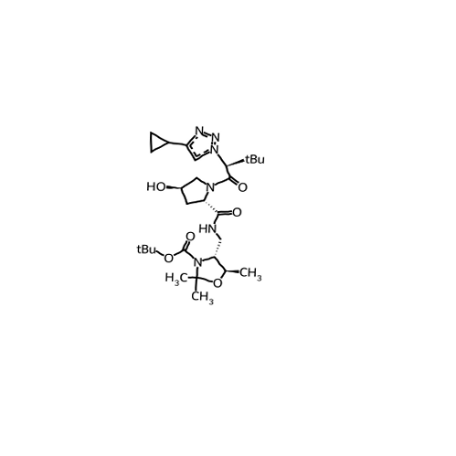 C[C@H]1OC(C)(C)N(C(=O)OC(C)(C)C)[C@@H]1CNC(=O)[C@@H]1C[C@@H](O)CN1C(=O)[C@@H](n1cc(C2CC2)nn1)C(C)(C)C